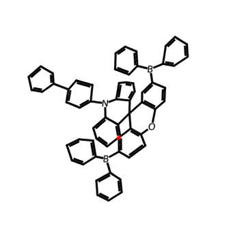 c1ccc(B(c2ccccc2)c2ccc3c(c2)C2(c4cc(B(c5ccccc5)c5ccccc5)ccc4O3)c3ccccc3N(c3ccc(-c4ccccc4)cc3)c3ccccc32)cc1